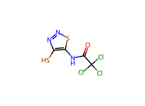 O=C(Nc1snnc1S)C(Cl)(Cl)Cl